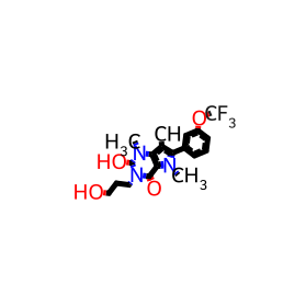 Cc1c2c(n(C)c1-c1cccc(OC(F)(F)F)c1)C(=O)N(CCCO)C(O)N2C